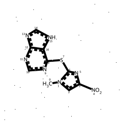 Cn1cc([N+](=O)[O-])nc1Sc1ncnc2nc[nH]c12